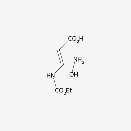 CCOC(=O)NC=CC(=O)O.NO